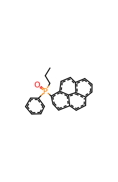 CCCP(=O)(c1ccccc1)c1ccc2ccc3cccc4ccc1c2c34